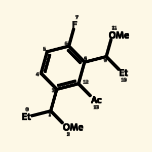 CCC(OC)c1ccc(F)c(C(CC)OC)c1C(C)=O